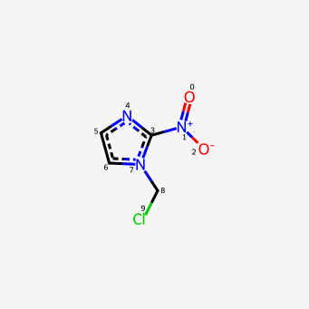 O=[N+]([O-])c1nccn1CCl